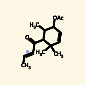 C/C=C/C(=O)C1C(C)C(OC(C)=O)C=CC1(C)C